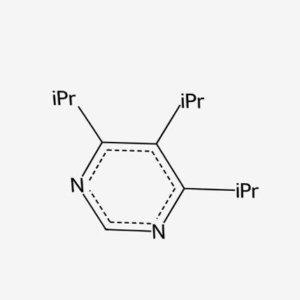 CC(C)c1ncnc(C(C)C)c1C(C)C